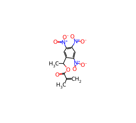 C=C(C)C(=O)OC(C)c1cc([N+](=O)[O-])c([N+](=O)[O-])cc1[N+](=O)[O-]